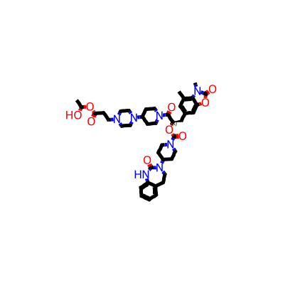 Cc1cc(C[C@@H](OC(=O)N2CCC(N3CCc4ccccc4NC3=O)CC2)C(=O)N2CCC(N3CCN(CCC(=O)OC(C)O)CC3)CC2)cc2oc(=O)n(C)c12